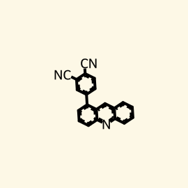 N#Cc1ccc(-c2cccc3nc4ccccc4cc23)cc1C#N